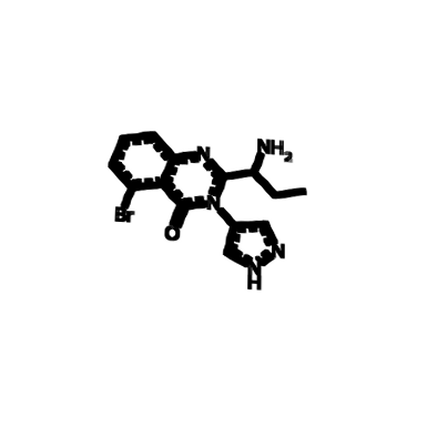 CCC(N)c1nc2cccc(Br)c2c(=O)n1-c1cn[nH]c1